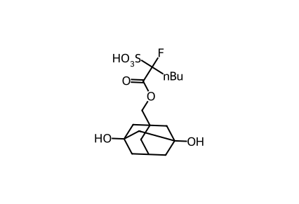 CCCCC(F)(C(=O)OCC12CC3CC(O)(CC(O)(C3)C1)C2)S(=O)(=O)O